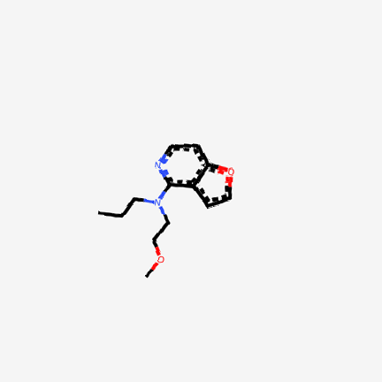 CCCN(CCOC)c1nccc2occc12